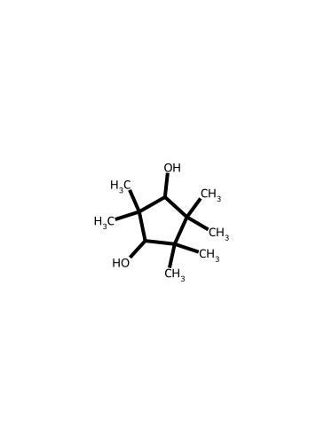 CC1(C)C(O)C(C)(C)C(C)(C)C1O